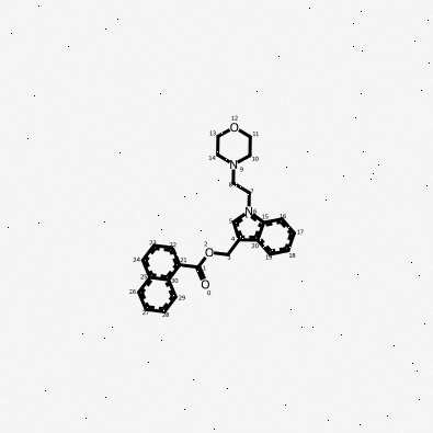 O=C(OCc1cn(CCN2CCOCC2)c2ccccc12)c1cccc2ccccc12